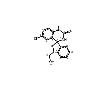 O=C1Nc2ccc(Cl)cc2C(CCCO)(c2ccccc2)N1